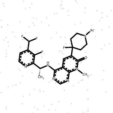 CC(=O)N1CCC(F)(c2cc3c(N[C@H](C)c4nccc(C(F)F)c4F)ncnc3n(C)c2=O)CC1